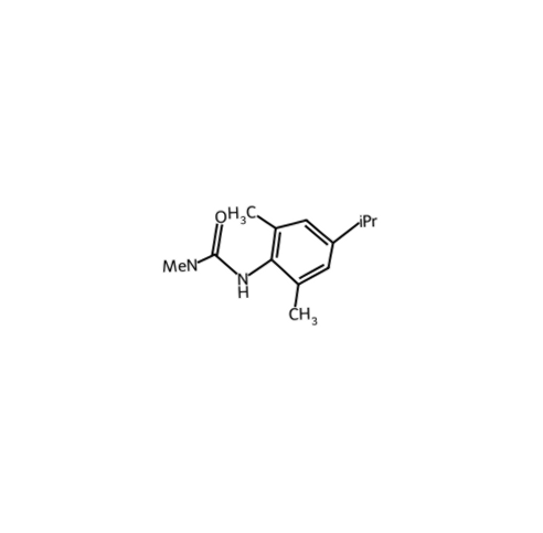 CNC(=O)Nc1c(C)cc(C(C)C)cc1C